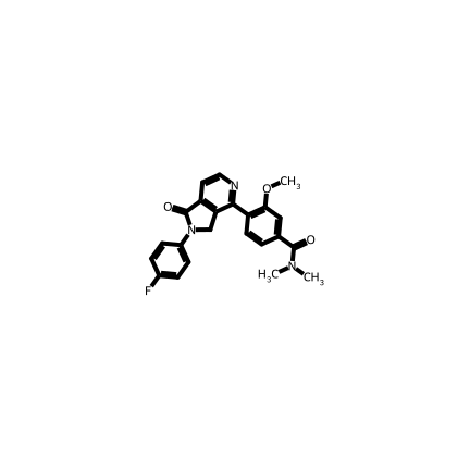 COc1cc(C(=O)N(C)C)ccc1-c1nccc2c1CN(c1ccc(F)cc1)C2=O